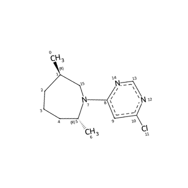 C[C@@H]1CCC[C@@H](C)N(c2cc(Cl)ncn2)C1